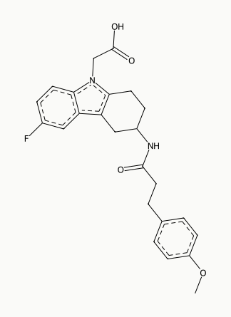 COc1ccc(CCC(=O)NC2CCc3c(c4cc(F)ccc4n3CC(=O)O)C2)cc1